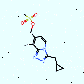 Cc1c(COS(C)(=O)=O)ccn2c(CC3CC3)nnc12